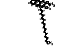 CCCCCCCCCCCCCCCCNC(=S)C(=Cc1ccccc1)C(=O)N(OC)OC